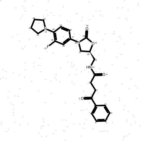 O=C(CCC(=O)c1ccccc1)NC[C@H]1CN(c2ccc(N3CCCC3)c(F)c2)C(=O)O1